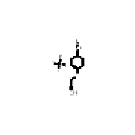 C#CCOC1=CCC(=[N+]=[N-])C=C1.F[B-](F)(F)F